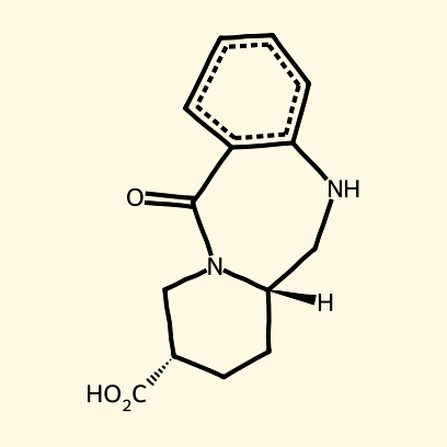 O=C(O)[C@H]1CC[C@H]2CNc3ccccc3C(=O)N2C1